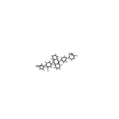 Cc1ccc(-c2ccc(-c3c4ccccc4c(-c4ccc(-c5cc[nH]c5)c(C)c4)c4ccccc34)cc2)cn1